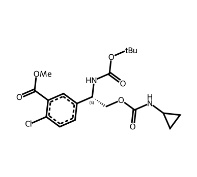 COC(=O)c1cc([C@@H](COC(=O)NC2CC2)NC(=O)OC(C)(C)C)ccc1Cl